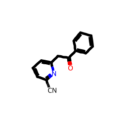 N#Cc1cccc(CC(=O)c2ccccc2)n1